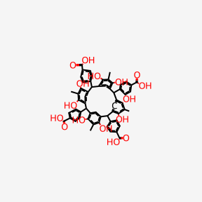 Cc1c(O)c2cc(c1O)C(c1ccc(C(=O)O)cc1)c1cc(c(O)c(C)c1O)C(c1ccc(C(=O)O)cc1)c1cc(c(O)c(C)c1O)C(c1ccc(C(=O)O)cc1)c1cc(c(O)c(C)c1O)C2c1ccc(C(=O)O)cc1